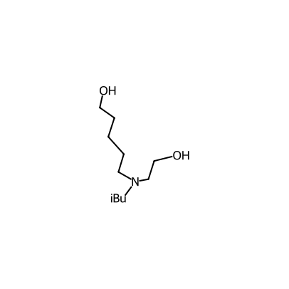 CCC(C)N(CCO)CCCCCO